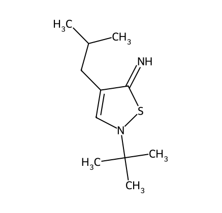 CC(C)Cc1cn(C(C)(C)C)sc1=N